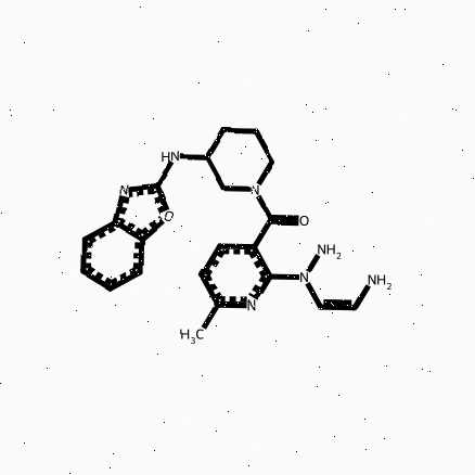 Cc1ccc(C(=O)N2CCCC(Nc3nc4ccccc4o3)C2)c(N(N)/C=C\N)n1